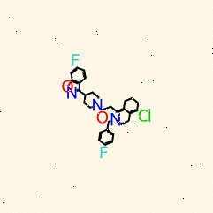 O=C(c1ccc(F)cc1)N1CCC2=C(Cl)CCCC2=C1CCN1CCC(c2noc3cc(F)ccc23)CC1